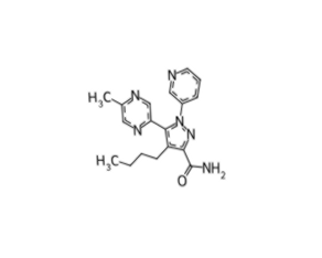 CCCCc1c(C(N)=O)nn(-c2cccnc2)c1-c1cnc(C)cn1